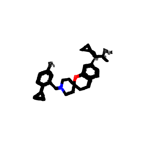 C[C@H](C(=O)O)[C@H](c1ccc2c(c1)OC1(CC2)CCN(Cc2cc(C(F)(F)F)ccc2C2CC2)CC1)C1CC1